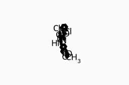 CS(=O)(=O)N1CCc2cc(Nc3ncc4c(n3)OCN(c3c(Cl)cccc3Cl)C4=O)ccc2C1